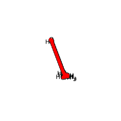 CC(C)[C@@H](C(N)=O)N(C)C(=O)OCc1ccc(O[C@@H]2O[C@H](C(=O)O)C[C@H](O)[C@H]2O)c(NC(=O)CCNC(=O)CCOCCOCCOCCOCCOCCOCCOCCOCCOCCOCCOCCOCCOCCOCCOCCOCCOCCOCCOCCOCCOCCOCCOCCOCCNC(=O)CCN2C(=O)C=CC2=O)c1